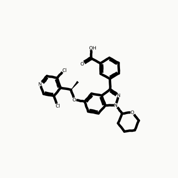 C[C@@H](Oc1ccc2c(c1)c(-c1cccc(C(=O)O)c1)nn2C1CCCCO1)c1c(Cl)cncc1Cl